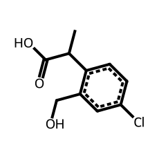 CC(C(=O)O)c1ccc(Cl)cc1CO